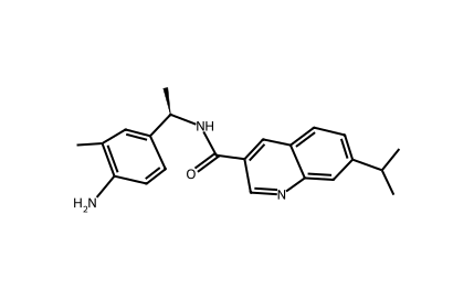 Cc1cc([C@@H](C)NC(=O)c2cnc3cc(C(C)C)ccc3c2)ccc1N